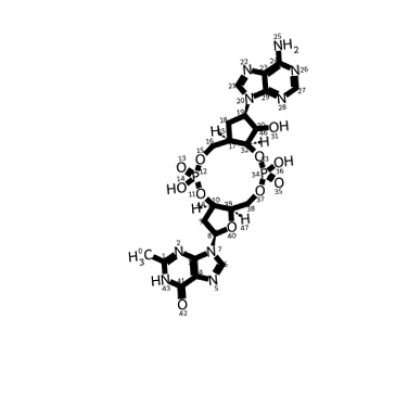 Cc1nc2c(ncn2[C@H]2C[C@H]3OP(=O)(O)OC[C@H]4C[C@@H](n5cnc6c(N)ncnc65)C(O)[C@H]4OP(=O)(O)OC[C@H]3O2)c(=O)[nH]1